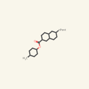 CCCCCC1CCC2CC(C(=O)OC3CCC(C)CC3)CCC2C1